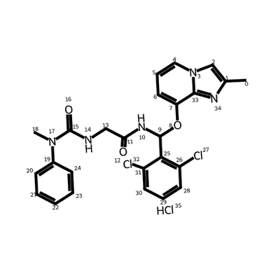 Cc1cn2cccc(OC(NC(=O)CNC(=O)N(C)c3ccccc3)c3c(Cl)cccc3Cl)c2n1.Cl